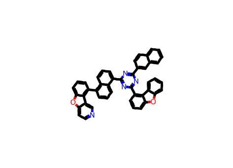 c1ccc2cc(-c3nc(-c4cccc5c(-c6cccc7oc8ccncc8c67)cccc45)nc(-c4cccc5oc6ccccc6c45)n3)ccc2c1